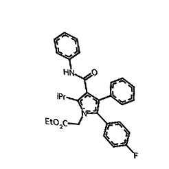 CCOC(=O)Cn1c(-c2ccc(F)cc2)c(-c2ccccc2)c(C(=O)Nc2ccccc2)c1C(C)C